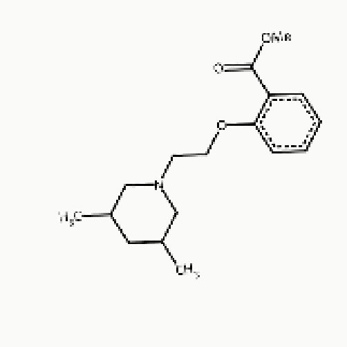 COC(=O)c1ccccc1OCCN1CC(C)CC(C)C1